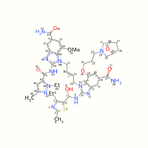 CCc1nc(C)sc1C(O)Nc1nc2cc(C(N)=O)cc(OCCCN3CC4CCC(C3)O4)c2n1C/C=C/Cn1c(NC(=O)c2cc(C)nn2CC)nc2cc(C(N)=O)cc(OC)c21